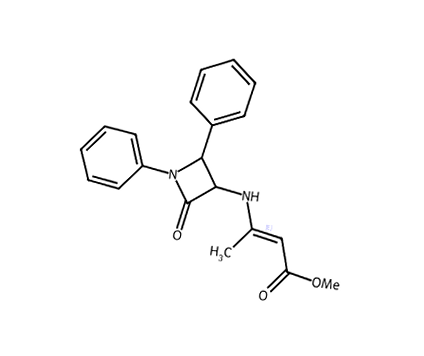 COC(=O)/C=C(\C)NC1C(=O)N(c2ccccc2)C1c1ccccc1